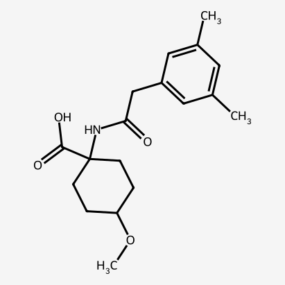 COC1CCC(NC(=O)Cc2cc(C)cc(C)c2)(C(=O)O)CC1